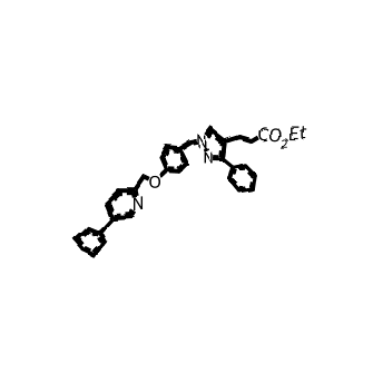 CCOC(=O)CCc1cn(Cc2ccc(OCc3ccc(-c4ccccc4)cn3)cc2)nc1-c1ccccc1